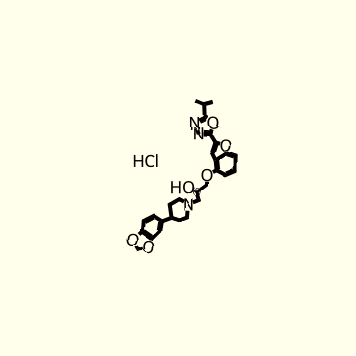 CC(C)c1nnc(-c2cc3c(OC[C@@H](O)CN4CCC(c5ccc6c(c5)OCO6)CC4)cccc3o2)o1.Cl